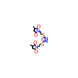 CC1=CC(=O)N(CCSc2nnc(SCCN3C(=O)C=C(C)C3=O)s2)C1=O